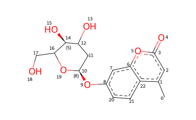 Cc1cc(=O)oc2cc(O[C@@H]3CC(O)[C@H](O)C(CO)O3)ccc12